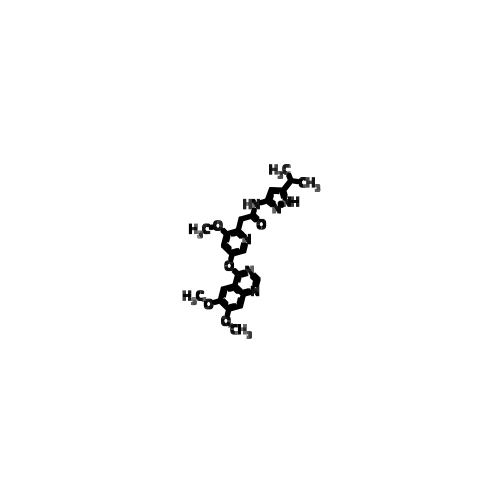 COc1cc2ncnc(Oc3cnc(CC(=O)Nc4cc(C(C)C)[nH]n4)c(OC)c3)c2cc1OC